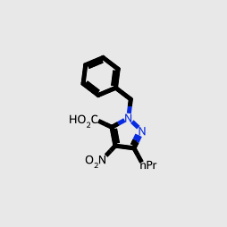 CCCc1nn(Cc2ccccc2)c(C(=O)O)c1[N+](=O)[O-]